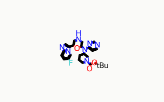 CC(C)(C)OC(=O)N1CCCC(N(c2ccncn2)C2CNCC(c3cnc4ccc(F)cn34)O2)C1